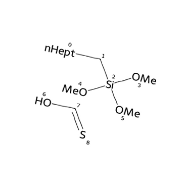 CCCCCCCC[Si](OC)(OC)OC.OC=S